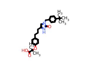 CC(C)(Oc1ccc(CCCc2cn(Cc3ccc(C(C)(C)C)cc3)c(=O)[nH]2)cc1)C(=O)O